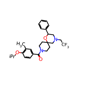 Cc1cc(C(=O)N2CCC3(CC2)CN(CC(F)(F)F)CC(c2ccccc2)O3)ccc1OC(C)C